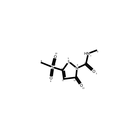 CNC(=O)n1sc(S(C)(=O)=O)cc1=O